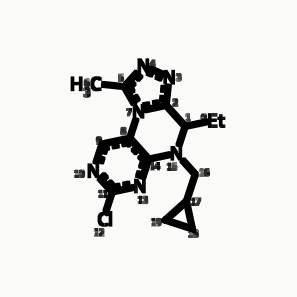 CCC1c2nnc(C)n2-c2cnc(Cl)nc2N1CC1CC1